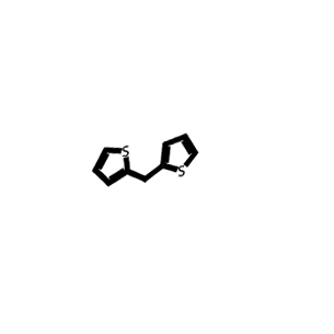 [CH](c1cccs1)c1cccs1